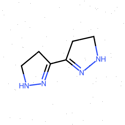 C1CC(C2=NNCC2)=NN1